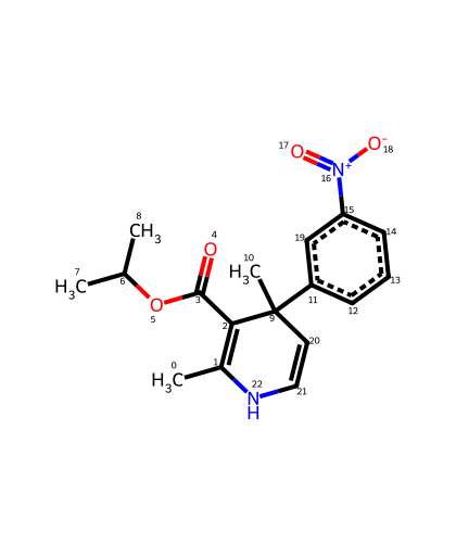 CC1=C(C(=O)OC(C)C)C(C)(c2cccc([N+](=O)[O-])c2)C=CN1